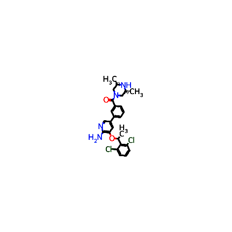 CC(Oc1cc(-c2cccc(C(=O)N3C[C@@H](C)N[C@@H](C)C3)c2)cnc1N)c1c(Cl)cccc1Cl